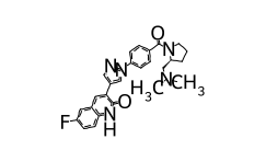 CN(C)C[C@@H]1CCCN1C(=O)c1ccc(-n2cc(-c3cc4cc(F)ccc4[nH]c3=O)cn2)cc1